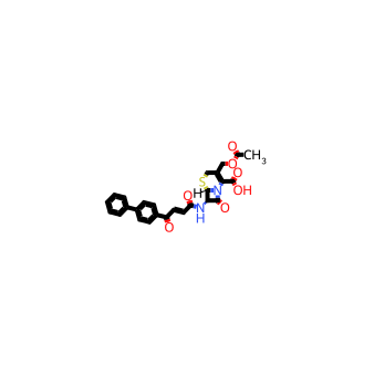 CC(=O)OCC1=C(C(=O)O)N2C(=O)[C@@H](NC(=O)C=CC(=O)c3ccc(-c4ccccc4)cc3)[C@H]2SC1